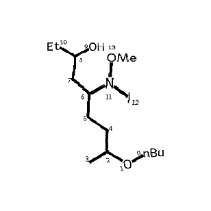 CCCCOC(C)CCC(CC(O)CC)N(I)OC